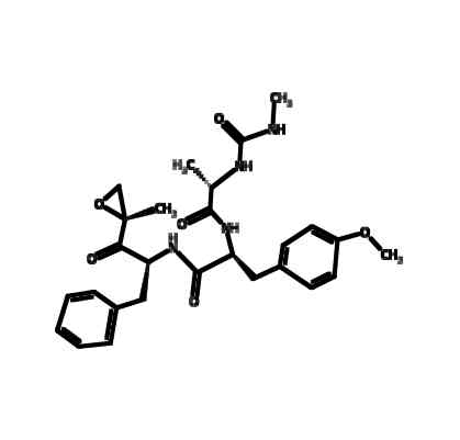 CNC(=O)N[C@@H](C)C(=O)N[C@@H](Cc1ccc(OC)cc1)C(=O)N[C@@H](Cc1ccccc1)C(=O)[C@@]1(C)CO1